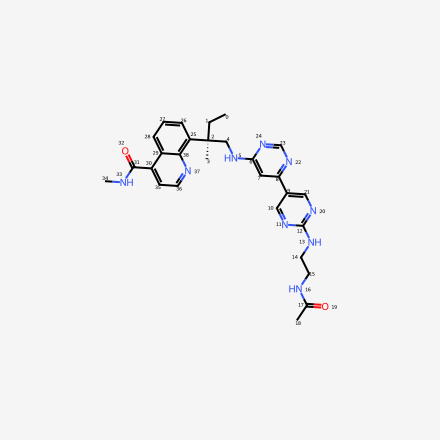 CC[C@@](C)(CNc1cc(-c2cnc(NCCNC(C)=O)nc2)ncn1)c1cccc2c(C(=O)NC)ccnc12